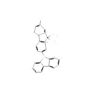 CC1(C)C2=CC(Br)=CCC2c2ccc(-n3c4ccccc4c4ccccc43)cc21